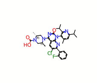 Cc1cc(C(C)C)nc(C(C)C)c1-n1c(=O)nc(N2C[C@@H](C)N(C(=O)O)C[C@@H]2C)c2cc(Cl)c(-c3ccccc3F)nc21